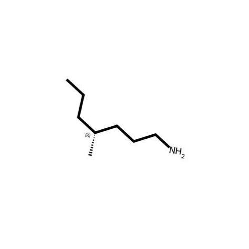 CCC[C@@H](C)CCCN